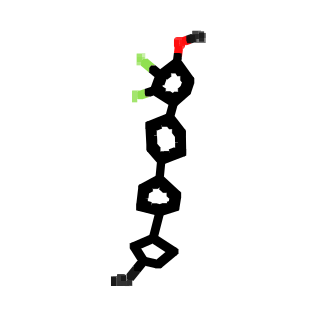 CCCCC1CCC(c2ccc(-c3ccc(-c4ccc(OCC)c(F)c4F)cc3)cc2)C1